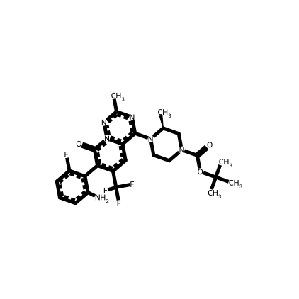 Cc1nc(N2CCN(C(=O)OC(C)(C)C)C[C@@H]2C)c2cc(C(F)(F)F)c(-c3c(N)cccc3F)c(=O)n2n1